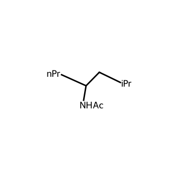 CCCC(CC(C)C)NC(C)=O